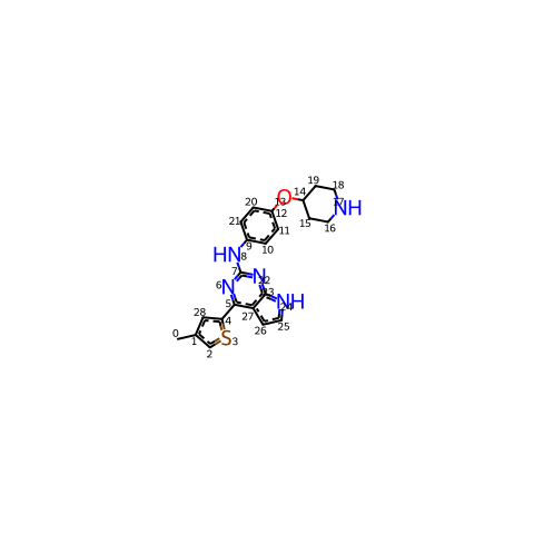 Cc1csc(-c2nc(Nc3ccc(OC4CCNCC4)cc3)nc3[nH]ccc23)c1